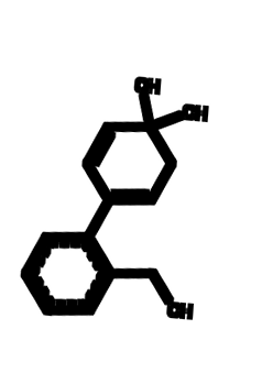 OCc1ccccc1C1=CCC(O)(O)C=C1